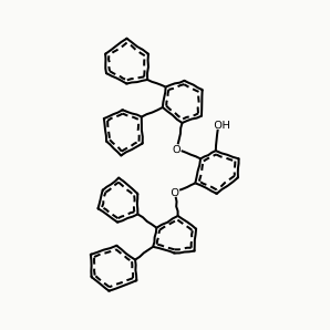 Oc1cccc(Oc2cccc(-c3ccccc3)c2-c2ccccc2)c1Oc1cccc(-c2ccccc2)c1-c1ccccc1